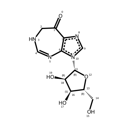 O=C1CNC=Nc2c1ncn2[C@@H]1O[C@H](CO)[C@@H](O)[C@H]1O